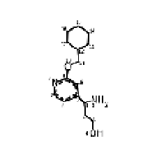 NC(CCO)c1ccnc(OCC2CCCCC2)c1